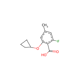 Cc1cc(F)c(C(=O)O)c(OC2CCC2)c1